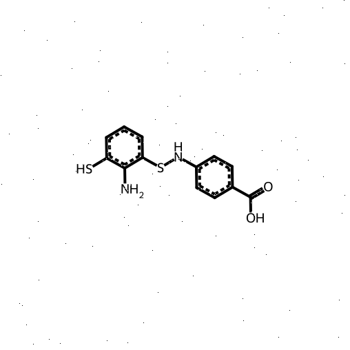 Nc1c(S)cccc1SNc1ccc(C(=O)O)cc1